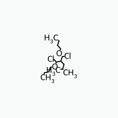 CCCCOC(Cl)C(CC(C)C)C(Cl)OCCCC